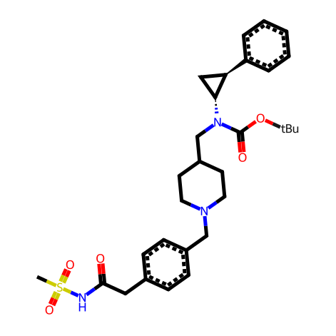 CC(C)(C)OC(=O)N(CC1CCN(Cc2ccc(CC(=O)NS(C)(=O)=O)cc2)CC1)[C@@H]1C[C@H]1c1ccccc1